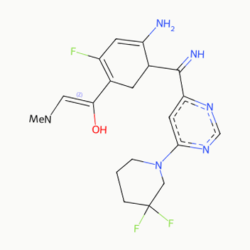 CN/C=C(\O)C1=C(F)C=C(N)C(C(=N)c2cc(N3CCCC(F)(F)C3)ncn2)C1